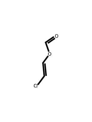 O=COC=CCl